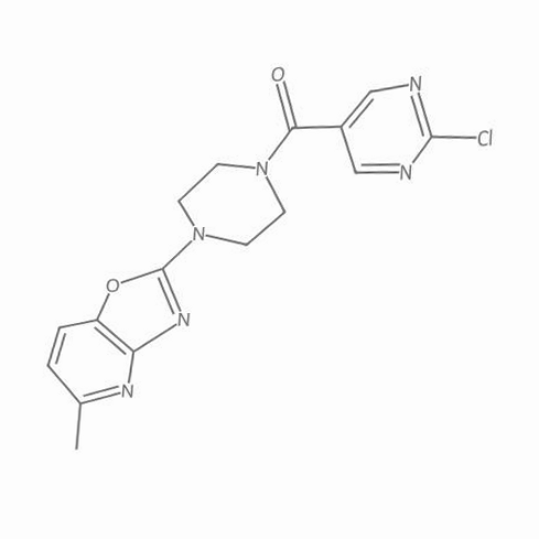 Cc1ccc2oc(N3CCN(C(=O)c4cnc(Cl)nc4)CC3)nc2n1